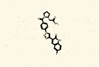 NC(=O)C[C@@H]1CCCN1C(=O)c1ccc(-n2cc(-c3cc4cc(F)ccc4[nH]c3=O)nn2)cc1